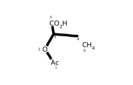 C.CC(=O)OC(C)C(=O)O